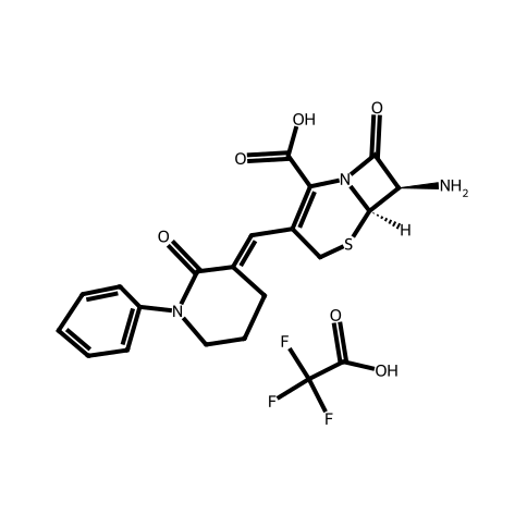 N[C@@H]1C(=O)N2C(C(=O)O)=C(C=C3CCCN(c4ccccc4)C3=O)CS[C@H]12.O=C(O)C(F)(F)F